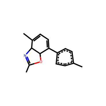 CC1=CC=C(c2ccc(C)cc2)C2OC(C)=NC12